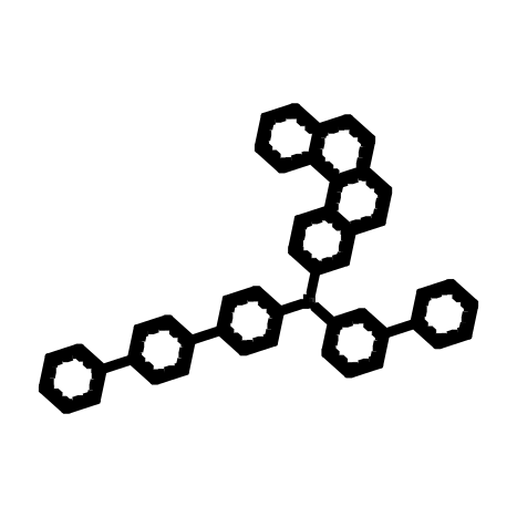 c1ccc(-c2ccc(-c3ccc(N(c4cccc(-c5ccccc5)c4)c4ccc5c(ccc6ccc7ccccc7c65)c4)cc3)cc2)cc1